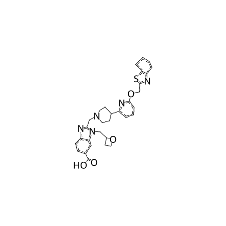 O=C(O)c1ccc2nc(CN3CCC(c4cccc(OCc5nc6ccccc6s5)n4)CC3)n(CC3CCO3)c2c1